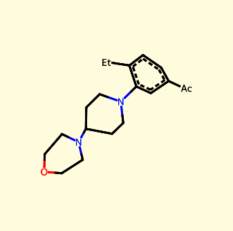 CCc1ccc(C(C)=O)cc1N1CCC(N2CCOCC2)CC1